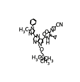 Cc1nc(-c2cnc3c(n2)c(C(=O)N[C@@H](C(=O)N2CC(C#N)C2)C2CC2)cn3COCC[Si](C)(C)C)cn1-c1ccccc1